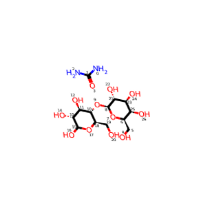 NC(N)=O.OC[C@H]1O[C@@H](O[C@H]2[C@H](O)[C@@H](O)C(O)O[C@@H]2CO)[C@H](O)[C@@H](O)[C@H]1O